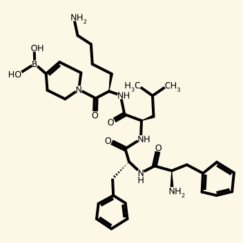 CC(C)C[C@@H](NC(=O)[C@@H](Cc1ccccc1)NC(=O)[C@H](N)Cc1ccccc1)C(=O)N[C@H](CCCCN)C(=O)N1CC=C(B(O)O)CC1